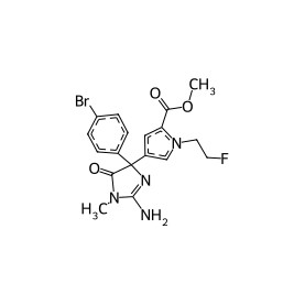 COC(=O)c1cc(C2(c3ccc(Br)cc3)N=C(N)N(C)C2=O)cn1CCF